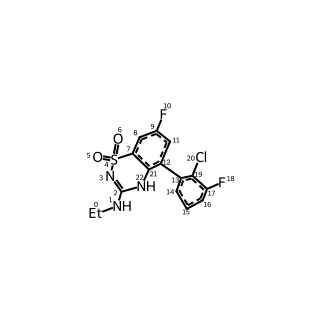 CCNC1=NS(=O)(=O)c2cc(F)cc(-c3cccc(F)c3Cl)c2N1